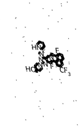 C#Cc1c(F)ccc2cc(C(F)(F)F)cc(-c3ncc4c(N(C)C[C@H]5CCCCN5)nc(N5CCC(C)(O)CC5)nc4c3F)c12